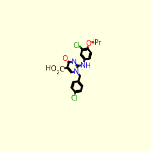 CC(C)Oc1ccc(Nc2nc(=O)c(C(=O)O)cn2Cc2ccc(Cl)cc2)cc1Cl